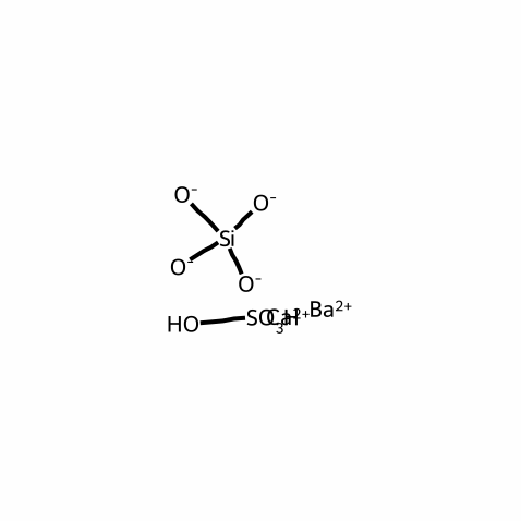 O=S(=O)(O)O.[Ba+2].[Ca+2].[O-][Si]([O-])([O-])[O-]